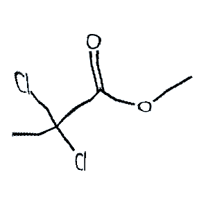 COC(=O)C(C)(Cl)Cl